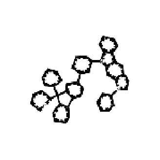 c1ccc(-n2ccc3cc4c5ccccc5n(-c5cccc(-c6ccc7c(c6)C(c6ccccc6)(c6ccccc6)c6ccccc6-7)c5)c4cc32)cc1